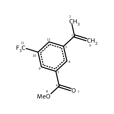 C=C(C)c1cc(C(=O)OC)cc(C(F)(F)F)c1